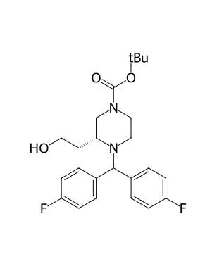 CC(C)(C)OC(=O)N1CCN(C(c2ccc(F)cc2)c2ccc(F)cc2)[C@H](CCO)C1